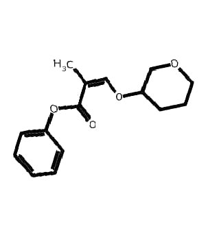 CC(=COC1CCCOC1)C(=O)Oc1ccccc1